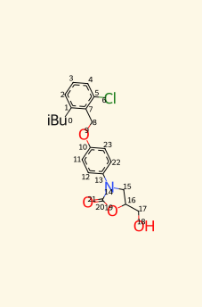 CCC(C)c1cccc(Cl)c1COc1ccc(N2CC(CO)OC2=O)cc1